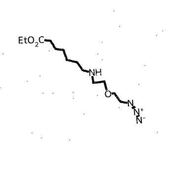 CCOC(=O)CCCCCCNCCOCCN=[N+]=[N-]